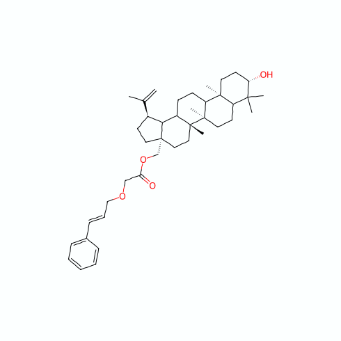 C=C(C)[C@@H]1CC[C@]2(COC(=O)COC/C=C/c3ccccc3)CC[C@]3(C)C(CCC4[C@@]5(C)CC[C@H](O)C(C)(C)C5CC[C@]43C)C12